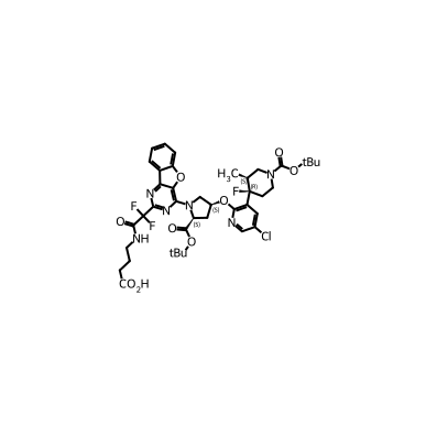 C[C@H]1CN(C(=O)OC(C)(C)C)CC[C@]1(F)c1cc(Cl)cnc1O[C@H]1C[C@@H](C(=O)OC(C)(C)C)N(c2nc(C(F)(F)C(=O)NCCCC(=O)O)nc3c2oc2ccccc23)C1